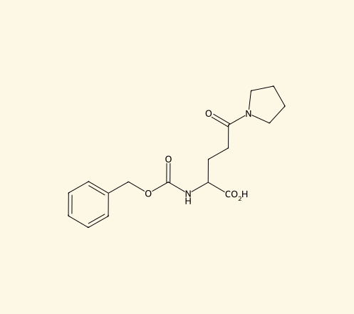 O=C(NC(CCC(=O)N1CCCC1)C(=O)O)OCc1ccccc1